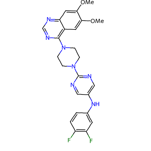 COc1cc2ncnc(N3CCN(c4ncc(Nc5ccc(F)c(F)c5)cn4)CC3)c2cc1OC